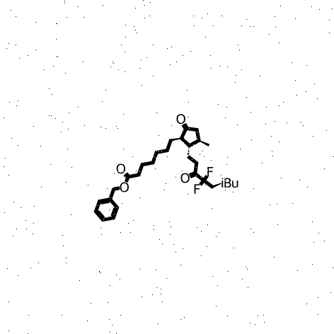 CC[C@H](C)CC(F)(F)C(=O)CC[C@H]1[C@H](C)CC(=O)[C@@H]1CCCCCCC(=O)OCc1ccccc1